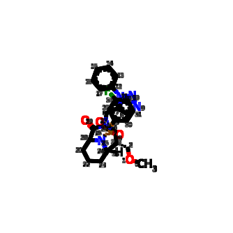 COC[C@H]1CN(Cc2cnnn2-c2ccccc2)C(=O)C2CCC[C@@H]1N2S(=O)(=O)c1cccc(F)c1